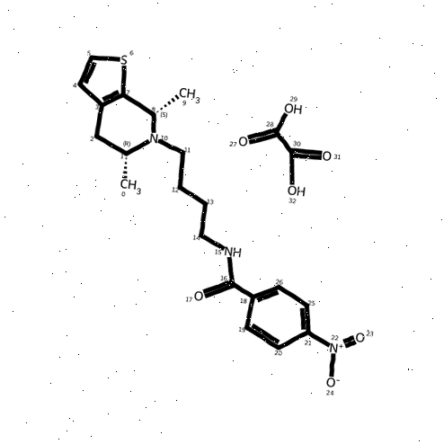 C[C@@H]1Cc2ccsc2[C@H](C)N1CCCCNC(=O)c1ccc([N+](=O)[O-])cc1.O=C(O)C(=O)O